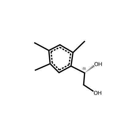 Cc1cc(C)c([C@H](O)CO)cc1C